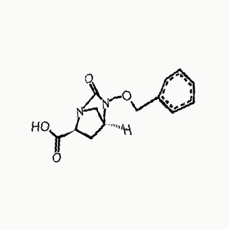 O=C(O)[C@@H]1C[C@H]2CN1C(=O)N2OCc1ccccc1